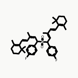 CC(C=CC1=C(C)CCCC1(C)C)=CC(c1ccc(F)cc1)S(=O)(=O)C(C=C(C)C=CC1=C(C)CCCC1(C)C)c1ccc(F)cc1